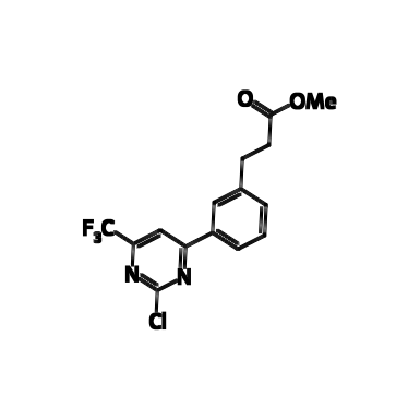 COC(=O)CCc1cccc(-c2cc(C(F)(F)F)nc(Cl)n2)c1